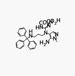 Cn1ncc(N(CCCNC(c2ccccc2)(c2ccccc2)c2ccccc2)C(=NC(=O)O)NC(=O)O)c1N